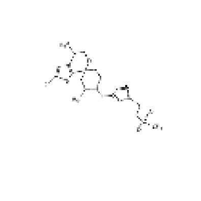 CC1CC2(CCN1Cc1cnn(CCS(C)(=O)=O)c1)OCC(N)c1cc(Cl)sc12